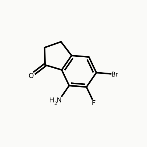 Nc1c(F)c(Br)cc2c1C(=O)CC2